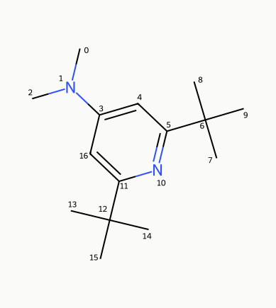 CN(C)c1cc(C(C)(C)C)nc(C(C)(C)C)c1